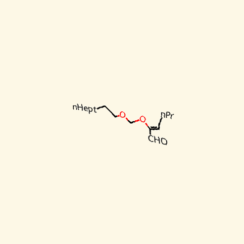 CCCC=C(C=O)OCOCCCCCCCCC